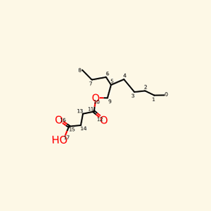 CCCCCC(CCC)COC(=O)CCC(=O)O